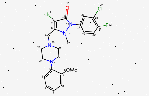 COc1ccccc1N1CCN(Cc2c(Cl)c(=O)n(-c3ccc(F)c(Cl)c3)n2C)CC1